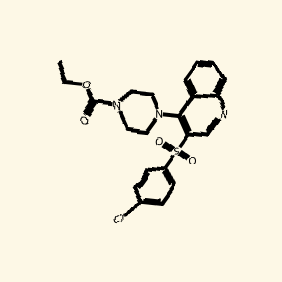 CCOC(=O)N1CCN(c2c(S(=O)(=O)c3ccc(Cl)cc3)cnc3ccccc23)CC1